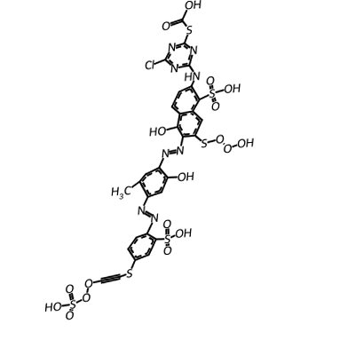 Cc1cc(N=Nc2c(SOOO)cc3c(S(=O)(=O)O)c(Nc4nc(Cl)nc(SC(=O)O)n4)ccc3c2O)c(O)cc1N=Nc1ccc(SC#COOS(=O)(=O)O)cc1S(=O)(=O)O